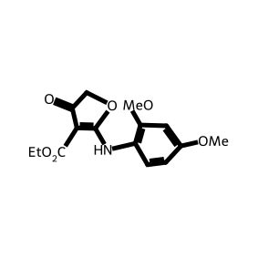 CCOC(=O)C1=C(Nc2ccc(OC)cc2OC)OCC1=O